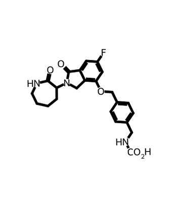 O=C(O)NCc1ccc(COc2cc(F)cc3c2CN(C2CCCCNC2=O)C3=O)cc1